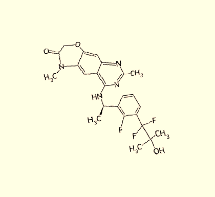 Cc1nc(N[C@H](C)c2cccc(C(F)(F)C(C)(C)O)c2F)c2cc3c(cc2n1)OCC(=O)N3C